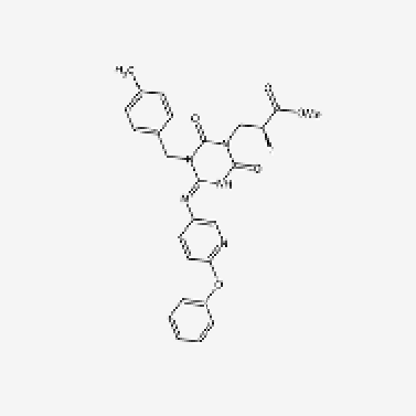 COC(=O)[C@@H](I)Cn1c(=O)[nH]/c(=N\c2ccc(Oc3ccccc3)nc2)n(Cc2ccc(C)cc2)c1=O